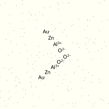 [Al+3].[Al+3].[Au].[Au].[O-2].[O-2].[O-2].[Zn].[Zn]